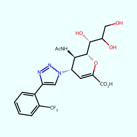 CC(=O)N[C@H]1[C@H]([C@H](O)C(O)CO)OC(C(=O)O)=C[C@@H]1n1cc(-c2ccccc2C(F)(F)F)nn1